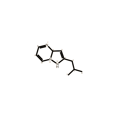 CC(C)CC1=CC2N=CC=CN2N1